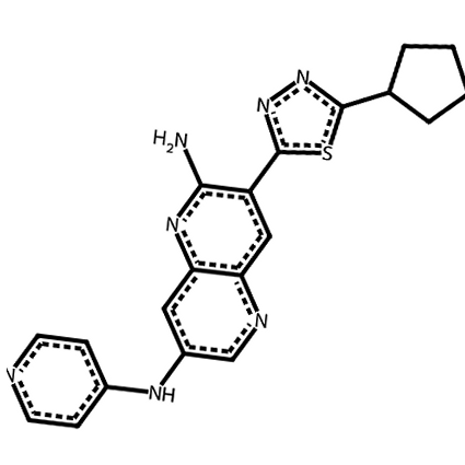 Nc1nc2cc(Nc3ccncc3)cnc2cc1-c1nnc(C2CCCC2)s1